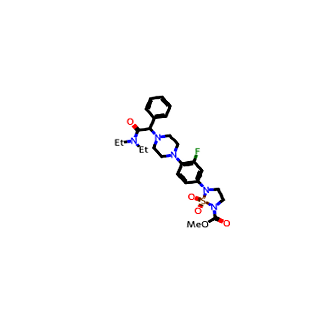 CCN(CC)C(=O)C(c1ccccc1)N1CCN(c2ccc(N3CCN(C(=O)OC)S3(=O)=O)cc2F)CC1